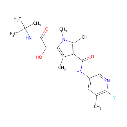 Cc1cc(NC(=O)c2c(C)c(C(O)C(=O)NC(C)(C)C(F)(F)F)n(C)c2C)cnc1F